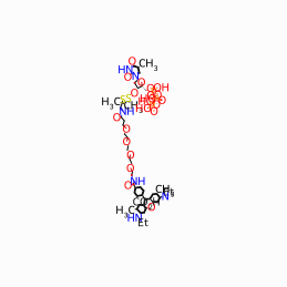 CC/N=c1/cc2oc3cc(NCC)c(C)cc3c(-c3ccc(C(=O)NCCOCCOCCOCCOCCC(=O)NCC(C)(C)SSCO[C@@H]4C[C@H](n5cc(C)c(=O)[nH]c5=O)O[C@@H]4COP(=O)(O)OP(=O)(O)OP(=O)(O)O)cc3C(=O)O)c-2cc1C